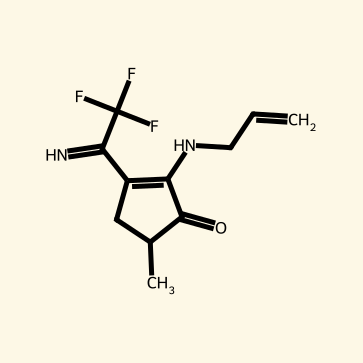 C=CCNC1=C(C(=N)C(F)(F)F)CC(C)C1=O